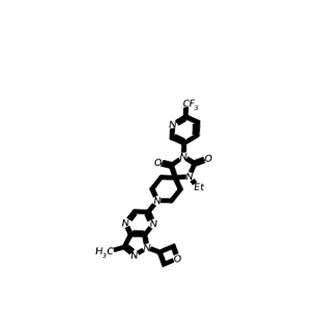 CCN1C(=O)N(c2ccc(C(F)(F)F)nc2)C(=O)C12CCN(c1cnc3c(C)nn(C4COC4)c3n1)CC2